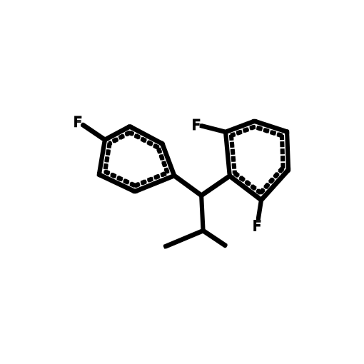 CC(C)C(c1ccc(F)cc1)c1c(F)cccc1F